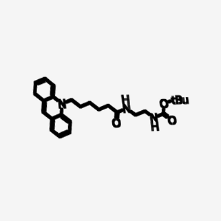 CC(C)(C)OC(=O)NCCNC(=O)CCCCCN1C2=CC=CCC2=Cc2ccccc21